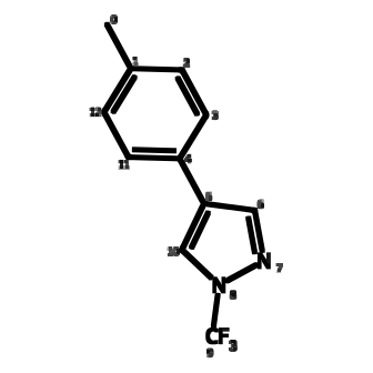 Cc1ccc(-c2cnn(C(F)(F)F)c2)cc1